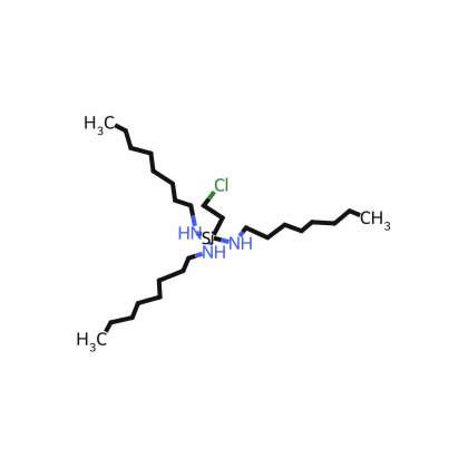 CCCCCCCCN[Si](CCCl)(NCCCCCCCC)NCCCCCCCC